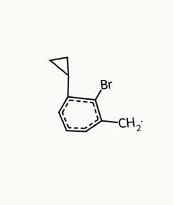 [CH2]c1cccc(C2CC2)c1Br